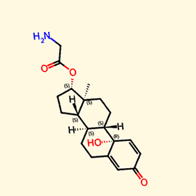 C[C@]12CC[C@H]3[C@@H](CCC4=CC(=O)C=C[C@@]43O)[C@@H]1CC[C@@H]2OC(=O)CN